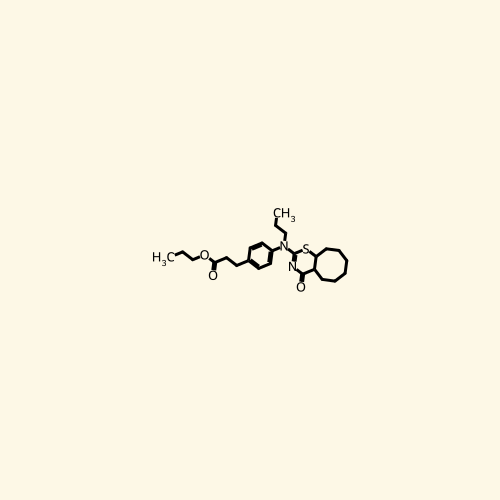 CCCOC(=O)CCc1ccc(N(CCC)C2=NC(=O)C3CCCCCCC3S2)cc1